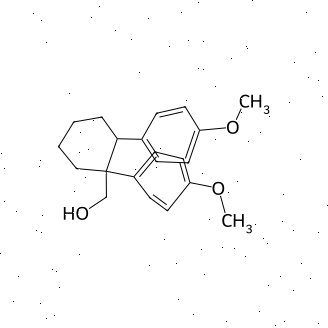 COc1ccc(C2CCCCC2(CO)c2ccc(OC)cc2)cc1